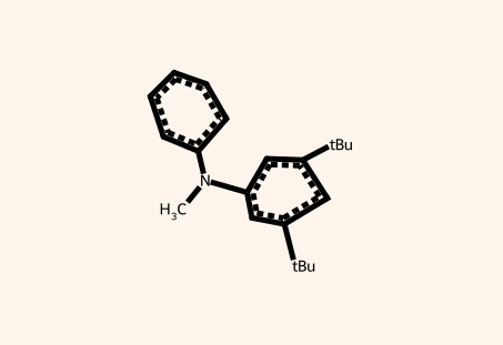 CN(c1ccccc1)c1cc(C(C)(C)C)cc(C(C)(C)C)c1